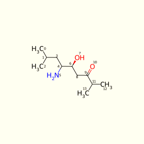 CC(C)CC(N)[C@@H](O)CC(=O)C(C)C